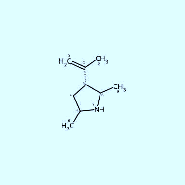 C=C(C)[C@H]1CC(C)NC1C